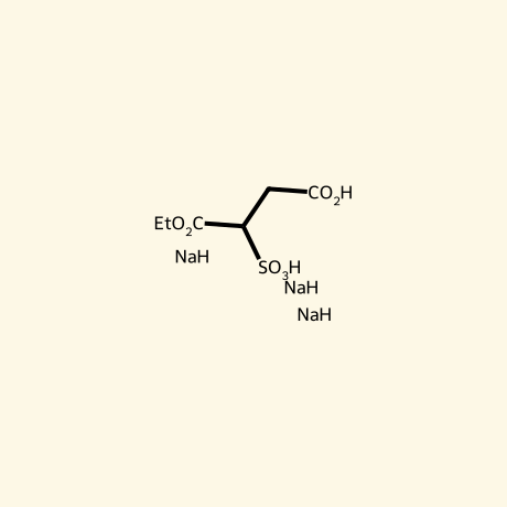 CCOC(=O)C(CC(=O)O)S(=O)(=O)O.[NaH].[NaH].[NaH]